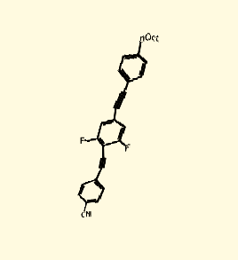 CCCCCCCCc1ccc(C#Cc2cc(F)c(C#Cc3ccc(C#N)cc3)c(F)c2)cc1